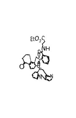 CCOC(=O)CCNC(=O)c1ccccc1S(=O)(=O)Cc1c(O[C@@H](Cc2ncc[nH]2)c2ccccc2)ccc2c1CCCC2=O